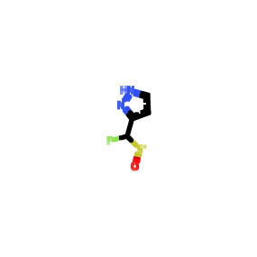 O=[S+]C(F)c1cc[nH]n1